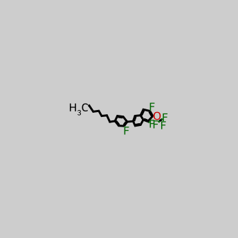 CCCCCCCc1ccc(-c2ccc3c(F)c(OC(F)(F)F)c(F)cc3c2)c(F)c1